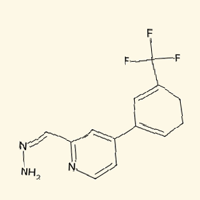 N/N=C\c1cc(C2=CCCC(C(F)(F)F)=C2)ccn1